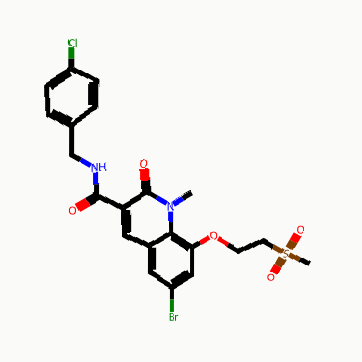 Cn1c(=O)c(C(=O)NCc2ccc(Cl)cc2)cc2cc(Br)cc(OCCS(C)(=O)=O)c21